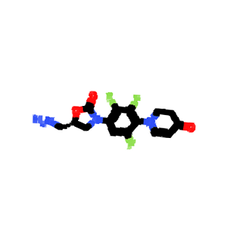 NC[C@H]1CN(c2cc(F)c(N3C=CC(=O)CC3)c(F)c2F)C(=O)O1